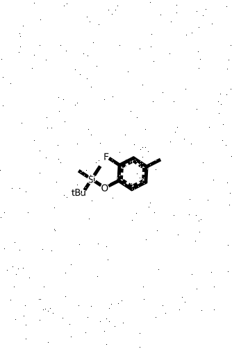 Cc1ccc(O[Si](C)(C)C(C)(C)C)c(F)c1